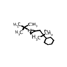 CC(C)(CC1CN1C(C)(C)C)C1CCCCC1